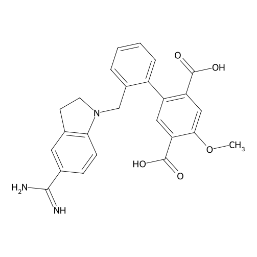 COc1cc(C(=O)O)c(-c2ccccc2CN2CCc3cc(C(=N)N)ccc32)cc1C(=O)O